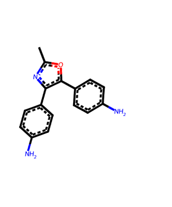 Cc1nc(-c2ccc(N)cc2)c(-c2ccc(N)cc2)o1